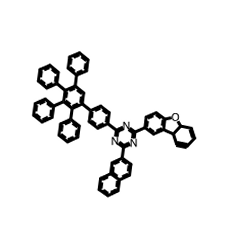 C1#CC2c3cc(-c4nc(-c5ccc(-c6cc(-c7ccccc7)c(-c7ccccc7)c(-c7ccccc7)c6-c6ccccc6)cc5)nc(-c5ccc6ccccc6c5)n4)ccc3OC2C=C1